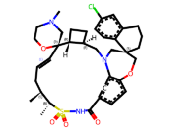 C[C@@H]1[C@@H](C)C/C=C/[C@@]2(CN(C)CCO2)[C@@H]2CC[C@H]2CN2C[C@@]3(CCCc4cc(Cl)ccc43)COc3ccc(cc32)C(=O)NS1(=O)=O